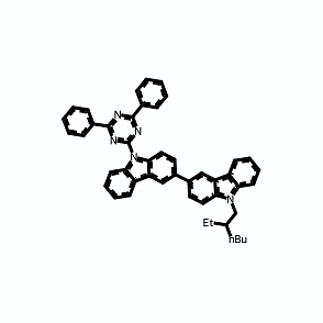 CCCCC(CC)Cn1c2ccccc2c2cc(-c3ccc4c(c3)c3ccccc3n4-c3nc(-c4ccccc4)nc(-c4ccccc4)n3)ccc21